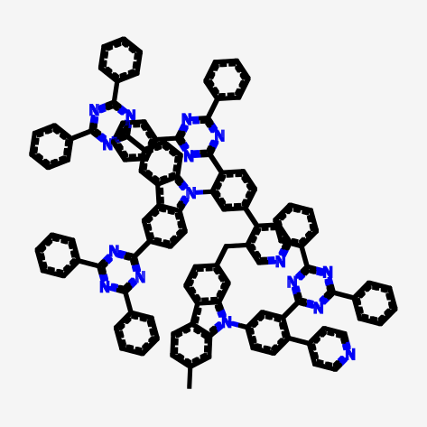 Cc1ccc2c3ccc(Cc4cnccc4-c4ccc(-c5nc(-c6ccccc6)nc(-c6ccccc6)n5)c(-n5c6ccc(-c7nc(-c8ccccc8)nc(-c8ccccc8)n7)cc6c6cc(-c7nc(-c8ccccc8)nc(-c8ccccc8)n7)ccc65)c4)cc3n(-c3ccc(-c4ccncc4)c(-c4nc(-c5ccccc5)nc(-c5ccccc5)n4)c3)c2c1